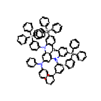 c1ccc(-c2cccc(N3c4cc([Si](c5ccccc5)(c5ccccc5)c5ccccc5)ccc4B4c5ccc([Si](c6ccccc6)(c6ccccc6)c6ccccc6)cc5N(c5cccc([Si](c6ccccc6)(c6ccccc6)c6ccccc6)c5)c5cc(N(c6ccccc6)c6ccccc6)cc3c54)c2)cc1